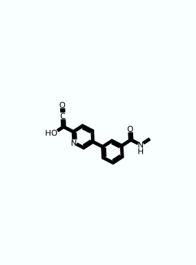 CNC(=O)c1cccc(-c2ccc(C(O)=C=O)nc2)c1